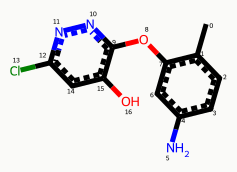 Cc1ccc(N)cc1Oc1nnc(Cl)cc1O